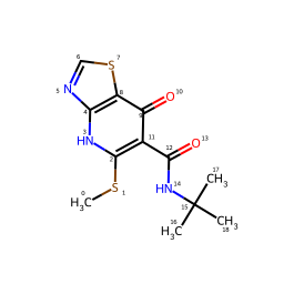 CSc1[nH]c2ncsc2c(=O)c1C(=O)NC(C)(C)C